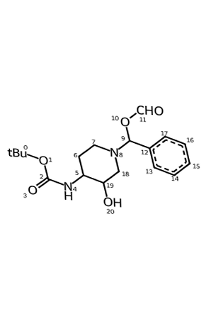 CC(C)(C)OC(=O)NC1CCN(C(OC=O)c2ccccc2)CC1O